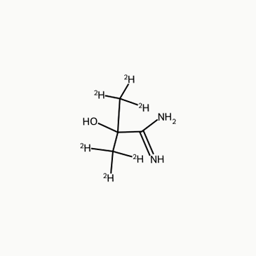 [2H]C([2H])([2H])C(O)(C(=N)N)C([2H])([2H])[2H]